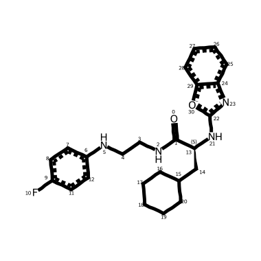 O=C(NCCNc1ccc(F)cc1)[C@H](CC1CCCCC1)Nc1nc2ccccc2o1